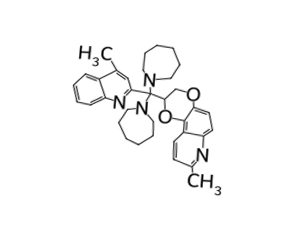 Cc1ccc2c3c(ccc2n1)OCC(C(c1cc(C)c2ccccc2n1)(N1CCCCCC1)N1CCCCCC1)O3